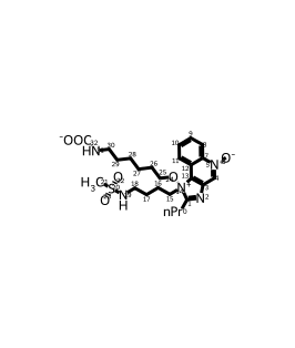 CCCC1=Nc2c[n+]([O-])c3ccccc3c2[N+]1(CCCCNS(C)(=O)=O)OCCCCCCNC(=O)[O-]